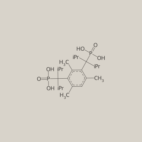 Cc1cc(C)c(C(C(C)C)(C(C)C)P(=O)(O)O)c(C)c1C(C(C)C)(C(C)C)P(=O)(O)O